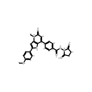 COc1ccc(-c2cc3c(s2)c(-c2ccc(C(=O)ON4C(=O)CCC4=O)cc2)cc(=O)n3C)cc1